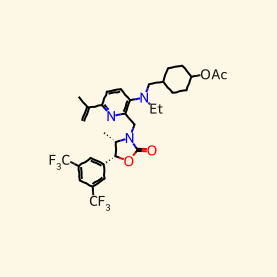 C=C(C)c1ccc(N(CC)CC2CCC(OC(C)=O)CC2)c(CN2C(=O)O[C@H](c3cc(C(F)(F)F)cc(C(F)(F)F)c3)[C@@H]2C)n1